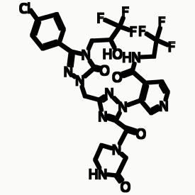 O=C1CN(C(=O)c2nc(Cn3nc(-c4ccc(Cl)cc4)n(CC(O)C(F)(F)F)c3=O)nn2-c2cnccc2C(=O)NCC(F)(F)F)CCN1